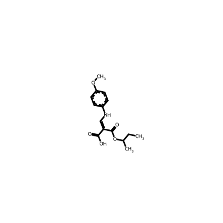 CCC(C)OC(=O)C(=CNc1ccc(OC)cc1)C(=O)O